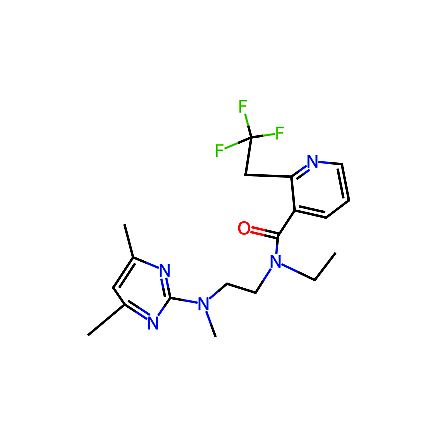 CCN(CCN(C)c1nc(C)cc(C)n1)C(=O)c1cccnc1CC(F)(F)F